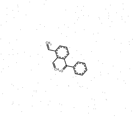 C=Cc1cccc(C(=O)c2ccccc2)c1C=C